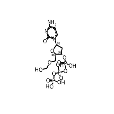 Nc1ccn([C@H]2C[C@H](OP(=O)(O)OP(=O)(O)OP(=O)(O)O)[C@@H](COCO)O2)c(=O)n1